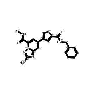 CC(C)NC(=O)c1cc(-c2csc(C(=O)NCc3ccccc3)c2)cc2nc(N)nn12